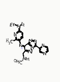 CCN(CC)c1ccc(/N=C2/C(CNC=O)=Nn3c2nnc3-c2cnccn2)c(C)n1